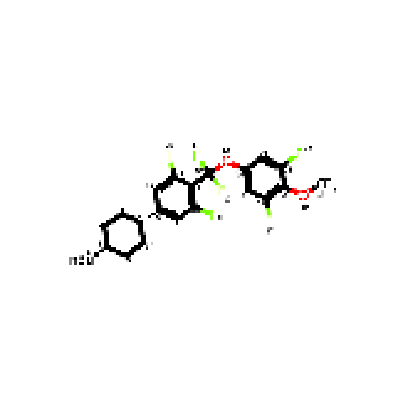 CCCC[C@H]1CC[C@H](c2cc(F)c(C(F)(F)Oc3cc(F)c(OC(F)(F)F)c(F)c3)c(F)c2)CC1